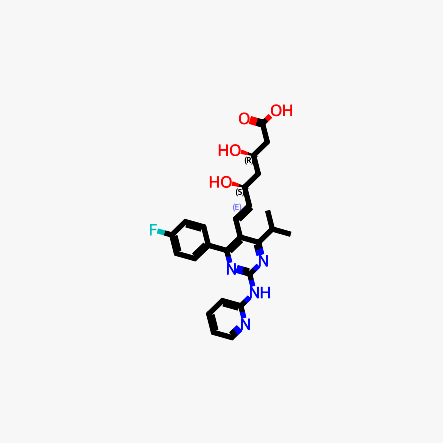 CC(C)c1nc(Nc2ccccn2)nc(-c2ccc(F)cc2)c1/C=C/[C@@H](O)C[C@@H](O)CC(=O)O